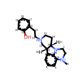 CN1CCN2c3c(cccc31)[C@@H]1CN(CCc3ccccc3O)CC[C@@H]12